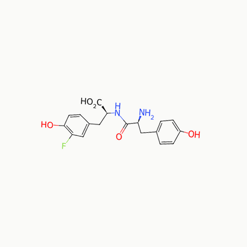 N[C@@H](Cc1ccc(O)cc1)C(=O)N[C@@H](Cc1ccc(O)c(F)c1)C(=O)O